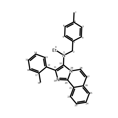 CCN(Cc1ccc(C)cc1)c1c(-c2ccccc2C)nc2c3ccccc3ccn12